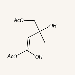 CC(=O)OCC(C)(O)C=C(O)OC(C)=O